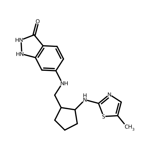 Cc1cnc(NC2CCCC2CNc2ccc3c(=O)[nH][nH]c3c2)s1